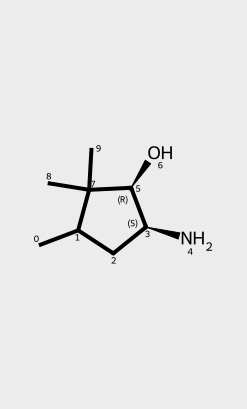 CC1C[C@H](N)[C@H](O)C1(C)C